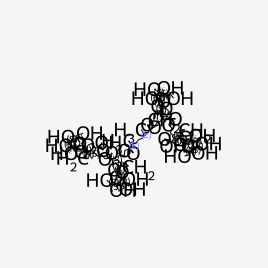 C=C[C@H]1[C@H](O[C@@H]2O[C@H](CO)[C@@H](O)[C@H](O)[C@H]2O)OC=C(C(=O)O)[C@H]1CCOC(=O)C1=CO[C@@H](O[C@@H]2O[C@H](CO)[C@@H](O)[C@H](O)[C@H]2O)[C@H](C=C)[C@@H]1CCOC(=O)/C=C(\C)CC/C=C(\C)C(=O)OCC[C@@H]1C(C(=O)OCC[C@@H]2C(C(=O)O)=CO[C@@H](O[C@@H]3O[C@H](CO)[C@@H](O)[C@H](O)[C@H]3O)[C@@H]2C=C)=CO[C@@H](O[C@@H]2O[C@H](CO)[C@@H](O)[C@H](O)[C@H]2O)[C@@H]1C=C